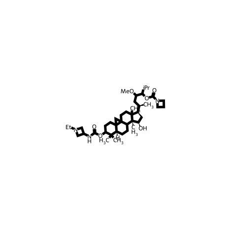 CCN1CC(NC(=O)OC2CCC34CC35CCC3(C)[C@@H]([C@H](C)CC(OC)C(OC(=O)N6CCC6)C(C)C)C[C@H](O)[C@@]3(C)C5CC[C@H]4C2(C)C)C1